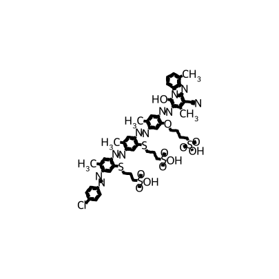 Cc1cc(N=Nc2cc(SCCCS(=O)(=O)O)c(N=Nc3cc(OCCCCS(=O)(=O)O)c(N=Nc4c(C)c(C#N)c5nc6c(C)cccc6n5c4O)cc3C)cc2C)c(SCCCS(=O)(=O)O)cc1N=Nc1ccc(Cl)cc1